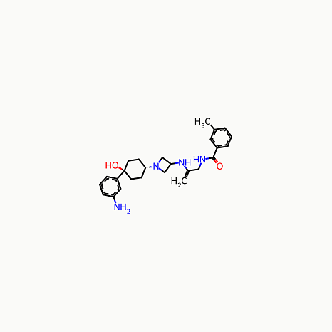 C=C(CNC(=O)c1cccc(C)c1)NC1CN([C@H]2CC[C@@](O)(c3cccc(N)c3)CC2)C1